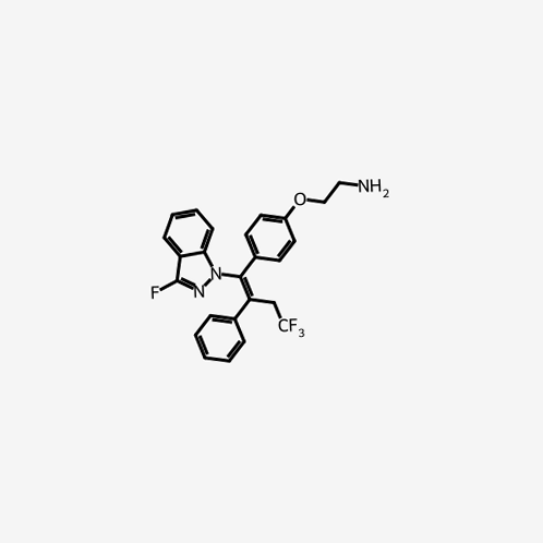 NCCOc1ccc(C(=C(CC(F)(F)F)c2ccccc2)n2nc(F)c3ccccc32)cc1